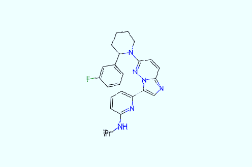 CC(C)Nc1cccc(-c2cnc3ccc(N4CCCCC4c4cccc(F)c4)nn23)n1